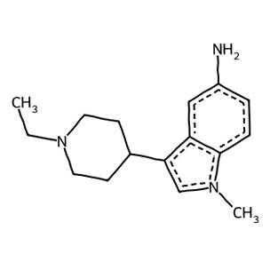 CCN1CCC(c2cn(C)c3ccc(N)cc23)CC1